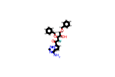 Nc1ncnn2c(C(=O)C(F)C(OCc3ccccc3)C(O)COCc3ccccc3)ccc12